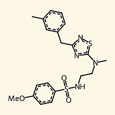 COc1ccc(S(=O)(=O)NCCN(C)c2nc(Cc3cccc(C)c3)ns2)cc1